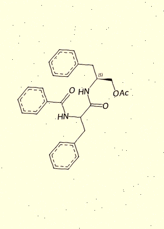 CC(=O)OC[C@H](Cc1ccccc1)NC(=O)C(Cc1ccccc1)NC(=O)c1ccccc1